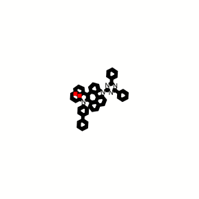 c1ccc(C2=C(N(c3ccccc3)c3ccc(-c4ccccc4)cc3)c3cccc4ccc5c(c34)c3c2cccc3n5-c2nc(-c3ccccc3)nc(-c3ccccc3)n2)cc1